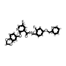 O=C(NCc1ccc(OCc2ccccn2)cc1F)c1cc(F)cnc1Oc1ccc2c(c1)OCO2